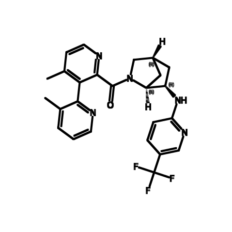 Cc1cccnc1-c1c(C)ccnc1C(=O)N1C[C@@H]2C[C@@H](Nc3ccc(C(F)(F)F)cn3)[C@@H]1C2